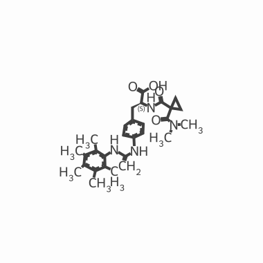 C=C(Nc1ccc(C[C@H](NC(=O)C2(C(=O)N(C)C)CC2)C(=O)O)cc1)Nc1c(C)c(C)c(C)c(C)c1C